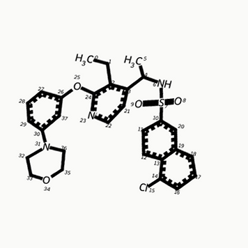 CCc1c(C(C)NS(=O)(=O)c2ccc3c(Cl)cccc3c2)ccnc1Oc1cccc(N2CCOCC2)c1